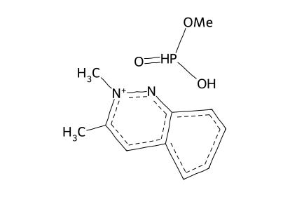 CO[PH](=O)O.Cc1cc2ccccc2n[n+]1C